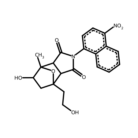 CC12OC(CCO)(CC1O)C1C(=O)N(c3ccc([N+](=O)[O-])c4ccccc34)C(=O)C12